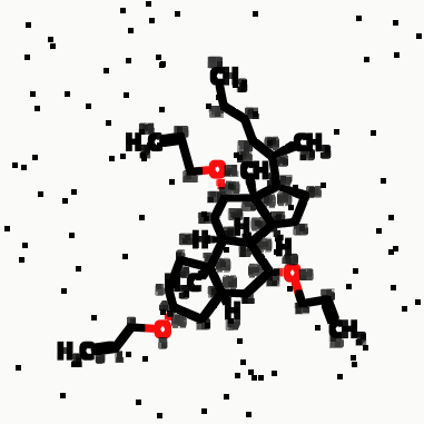 C=CCO[C@@H]1CC[C@@]2(C)[C@@H](C1)C[C@@H](OCC=C)[C@@H]1[C@@H]2C[C@H](OCC=C)[C@]2(C)[C@@H]([C@H](C)CCCC)CC[C@@H]12